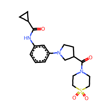 O=C(Nc1cccc(N2CCC(C(=O)N3CCS(=O)(=O)CC3)C2)c1)C1CC1